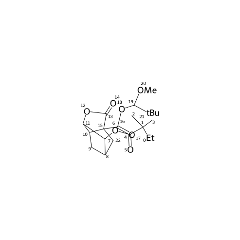 CCC(C)(C)C(=O)OC1C2CC3C1OC(=O)C3(C(=O)OC(OC)C(C)(C)C)C2